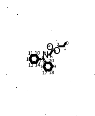 CCCOC(=O)CN=C(c1ccccc1)c1ccccc1